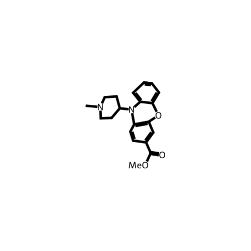 COC(=O)c1ccc2c(c1)Oc1ccccc1N2C1CCN(C)CC1